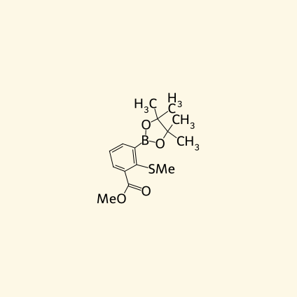 COC(=O)c1cccc(B2OC(C)(C)C(C)(C)O2)c1SC